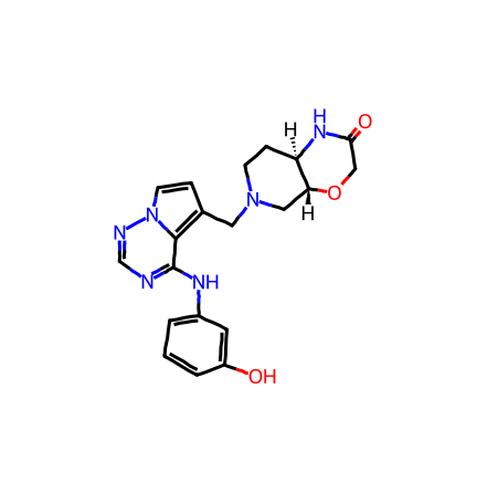 O=C1CO[C@@H]2CN(Cc3ccn4ncnc(Nc5cccc(O)c5)c34)CC[C@H]2N1